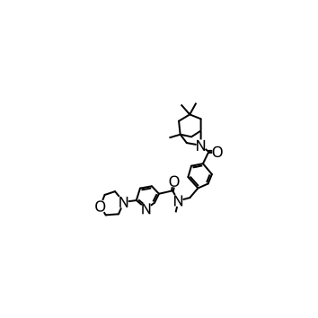 CN(Cc1ccc(C(=O)N2CC3(C)CC2CC(C)(C)C3)cc1)C(=O)c1ccc(N2CCOCC2)nc1